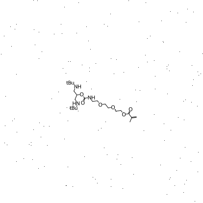 C=C(C)C(=O)OCCOCCOCCNC(=O)OC(CNC(C)(C)C)CNC(C)(C)C